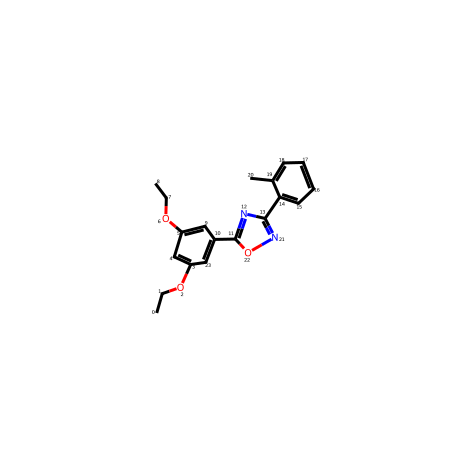 CCOc1cc(OCC)cc(-c2nc(-c3ccccc3C)no2)c1